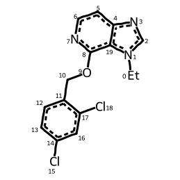 CCn1cnc2ccnc(OCc3ccc(Cl)cc3Cl)c21